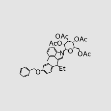 CCC(c1ccc(OCc2ccccc2)cc1)c1cn([C@@H]2O[C@H](COC(C)=O)[C@@H](OC(C)=O)[C@H](OC(C)=O)[C@H]2OC(C)=O)c2cccc(C)c12